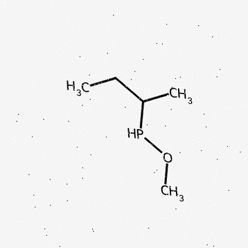 CCC(C)POC